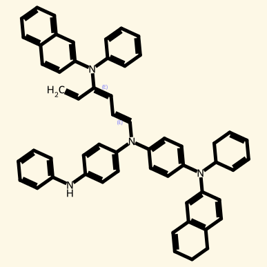 C=C/C(=C\C=C\N(c1ccc(Nc2ccccc2)cc1)c1ccc(N(c2ccc3c(c2)C=CCC3)C2C=CC=CC2)cc1)N(c1ccccc1)c1ccc2ccccc2c1